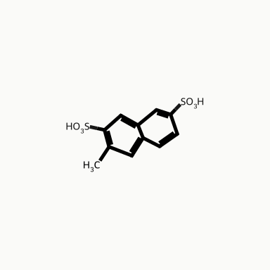 Cc1cc2ccc(S(=O)(=O)O)cc2cc1S(=O)(=O)O